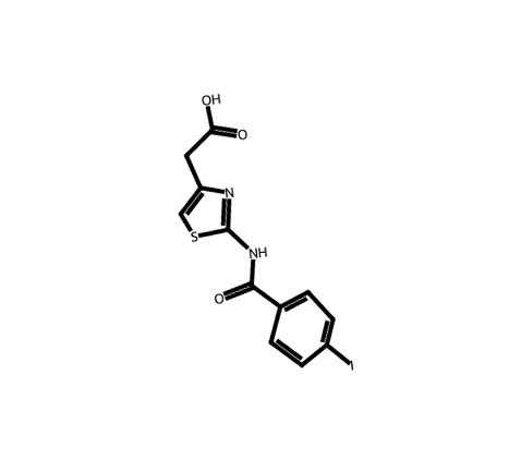 O=C(O)Cc1csc(NC(=O)c2ccc(I)cc2)n1